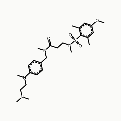 COc1cc(C)c(S(=O)(=O)N(C)CCC(=O)N(C)Cc2ccc(N(C)CCN(C)C)cc2)c(C)c1